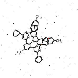 Cc1ccc(-c2ccc3c(c2)c2cc(-c4ccc(C)cc4)ccc2n3-c2c(-c3cc(-c4ccccc4)nc(-c4ccccc4)n3)cc(C(F)(F)F)cc2-c2cc(-c3ccccc3)nc(-c3ccccc3)n2)cc1